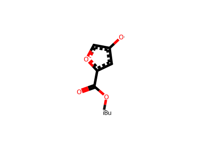 CCC(C)OC(=O)c1cc([O])co1